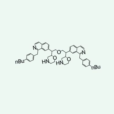 CCCCc1ccc(Cc2nccc3ccc(C(COCC(c4ccc5ccnc(Cc6ccc(CCCC)cc6)c5c4)C4CNCCO4)C4CNCCO4)cc23)cc1